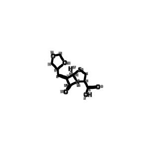 O=C(O)C1CS[C@@H]2C(=CC3COCO3)C(=O)N12